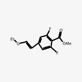 CCO/C=C/c1cc(F)c(C(=O)OC)c(F)c1